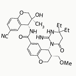 CCC1(CC)CC(=O)N([C@H]2c3cc(C(=O)N[C@@H]4c5cc(C#N)ccc5OC[C@@]4(C)O)ccc3OC[C@H]2COC)C(=N)N1